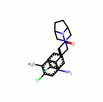 Cc1cc(C=CC(=O)N2C3CCC2CN(Cc2ccc(F)cc2)C3)c(N)cc1Cl